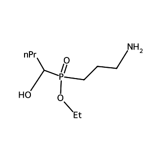 CCCC(O)P(=O)(CCCN)OCC